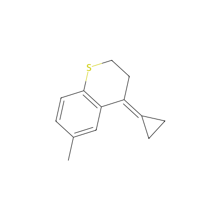 Cc1ccc2c(c1)C(=C1CC1)CCS2